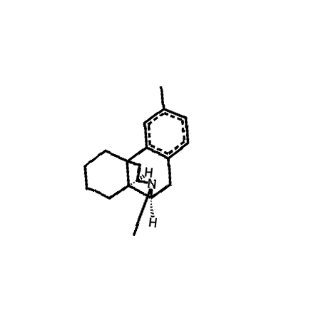 Cc1ccc2c(c1)C13CCCC[C@@H]1[C@H](C2)N(C)CC3